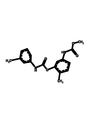 COC(=O)Nc1ccc(C)c(OC(=O)Nc2cccc(C)c2)c1